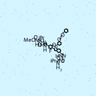 COC(=O)N[C@H](C(=O)N1CCC[C@H]1c1ncc(-c2cc(F)c3c(c2)OC(c2cccc(OCCOCc4ccccc4)c2)n2c-3cc3cc(-c4cnc([C@@H]5CCCN5C(=O)[C@@H](N)C(C)C)[nH]4)ccc32)[nH]1)C(C)C